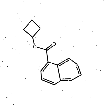 O=C(OC1CCC1)c1cccc2ccccc12